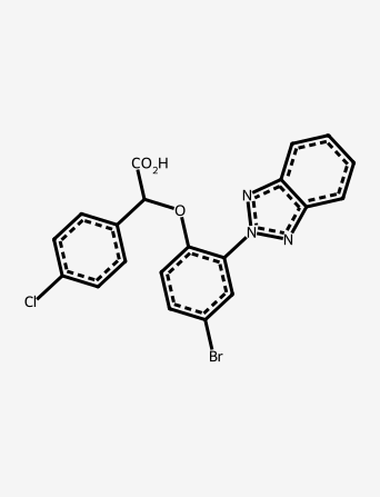 O=C(O)C(Oc1ccc(Br)cc1-n1nc2ccccc2n1)c1ccc(Cl)cc1